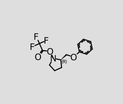 O=C(ON1CCC[C@@H]1COc1ccccc1)C(F)(F)F